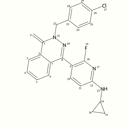 C=C1c2ccccc2C(c2ccc(NC3CC3)nc2F)=NN1Cc1ccc(Cl)cc1